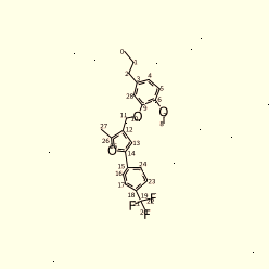 CCCc1ccc(OC)c(OCc2cc(-c3ccc(C(F)(F)F)cc3)oc2C)c1